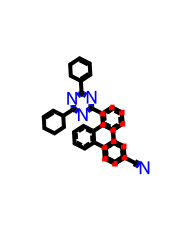 N#Cc1cccc(-c2ccccc2-c2ccccc2-c2ccccc2-c2cccc(-c3nc(C4=CC=CCC4)nc(C4C=CCCC4)n3)c2)c1